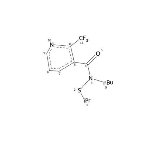 CCCCN(SC(C)C)C(=O)c1cccnc1C(F)(F)F